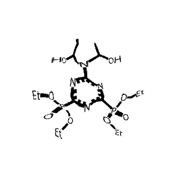 CCOP(=O)(OCC)c1nc(N(C(C)O)C(C)O)nc(P(=O)(OCC)OCC)n1